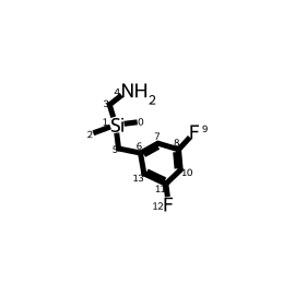 C[Si](C)(CN)Cc1cc(F)cc(F)c1